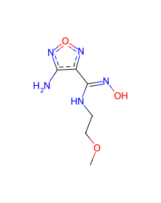 COCCNC(=NO)c1nonc1N